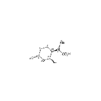 C[C@H]1OC(=O)CC[C@H]1N(C(=O)O)C(C)(C)C